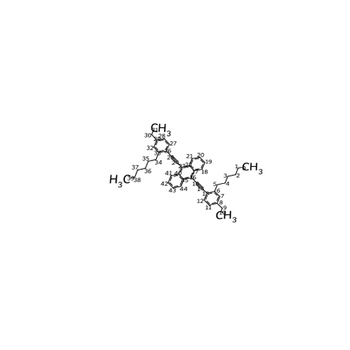 CCCCCCc1cc(CC)ccc1C#Cc1c2ccccc2c(C#Cc2ccc(CC)cc2CCCCCC)c2ccccc12